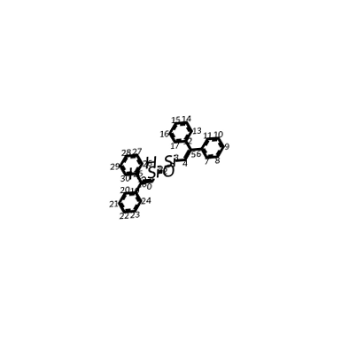 C([SiH2]O[SiH2]C=C(c1ccccc1)c1ccccc1)=C(c1ccccc1)c1ccccc1